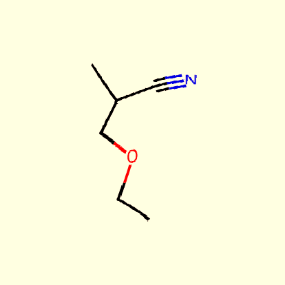 CCOC[C](C)C#N